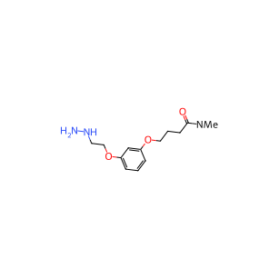 CNC(=O)CCCOc1cccc(OCCNN)c1